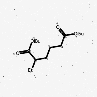 CCC(CCCC(=O)OCC(C)C)C(=O)OCC(C)C